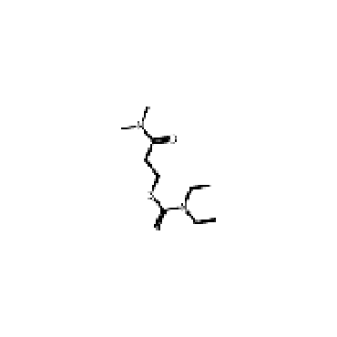 C=C(SCCC(=O)N(C)C)N(CC)CC